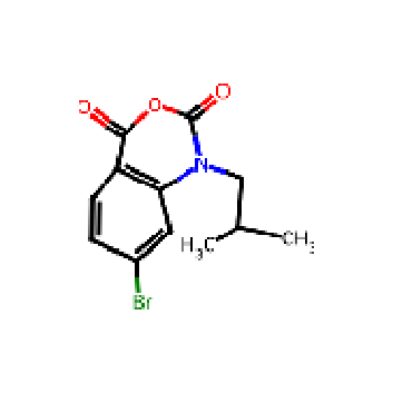 CC(C)Cn1c(=O)oc(=O)c2ccc(Br)cc21